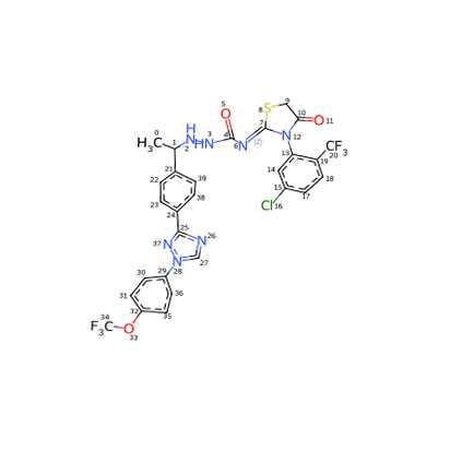 CC(NNC(=O)/N=C1\SCC(=O)N1c1cc(Cl)ccc1C(F)(F)F)c1ccc(-c2ncn(-c3ccc(OC(F)(F)F)cc3)n2)cc1